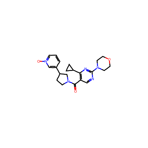 O=C(c1cnc(N2CCOCC2)nc1C1CC1)N1CCC(c2ccc[n+]([O-])c2)C1